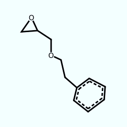 c1ccc(CCOCC2CO2)cc1